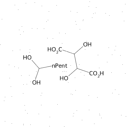 CCCCCC(O)O.O=C(O)C(O)C(O)C(=O)O